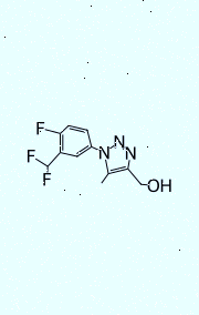 Cc1c(CO)nnn1-c1ccc(F)c(C(F)F)c1